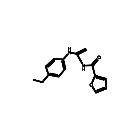 C=C(NC(=O)c1ccco1)Nc1ccc(CC)cc1